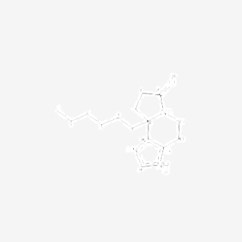 CCCCCCC12CCC(=O)N1CCc1[nH]cnc12